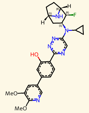 COc1cc(-c2ccc(-c3ncc(N(C4CC4)[C@H]4C[C@@H]5CC[C@@H](N5)[C@H]4F)nn3)c(O)c2)cnc1OC